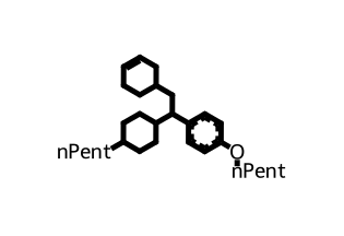 CCCCCOc1ccc(C(CC2CC=CCC2)C2CCC(CCCCC)CC2)cc1